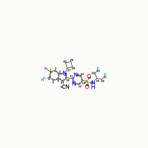 Cc1cc2c(cc1F)c(C#N)c(-c1ncc(S(=O)(=O)NC(CF)CF)cn1)n2C1CCC1